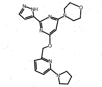 c1cc(COc2cc(N3CCOCC3)nc(-c3ccn[nH]3)n2)nc(N2CCCC2)c1